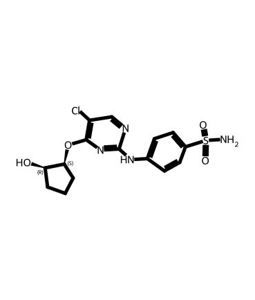 NS(=O)(=O)c1ccc(Nc2ncc(Cl)c(O[C@H]3CCC[C@H]3O)n2)cc1